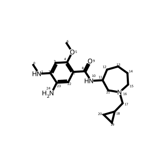 CNc1cc(OC)c(C(=O)NC2CCCCN(CC3CC3)C2)cc1N